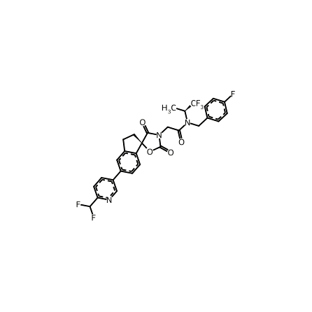 C[C@H](N(Cc1ccc(F)cc1)C(=O)CN1C(=O)O[C@@]2(CCc3cc(-c4ccc(C(F)F)nc4)ccc32)C1=O)C(F)(F)F